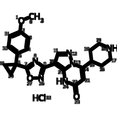 COc1ccc(C2(c3nc(-c4cnn5c(C6CCNCC6)cc(=O)[nH]c45)no3)CC2)cc1.Cl